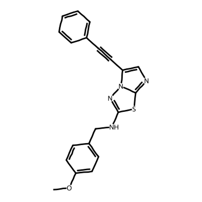 COc1ccc(CNc2nn3c(C#Cc4ccccc4)cnc3s2)cc1